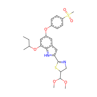 CCC(C)Oc1cc(Oc2ccc(S(C)(=O)=O)cc2)cc2cc(C3=NCC(C(OC)OC)S3)[nH]c12